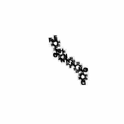 Cc1nc(N2CCN(C3CCN(C(=O)c4ccc(Cl)cc4)CC3)CC2)ncc1C(=O)NCc1ccc(F)c(F)c1